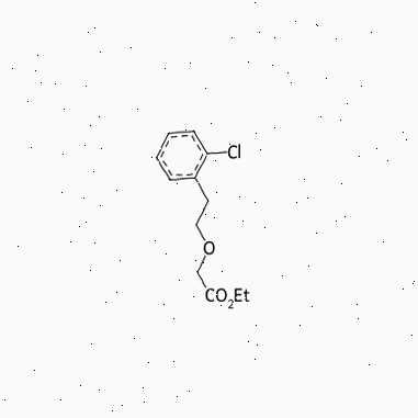 CCOC(=O)COCCc1ccccc1Cl